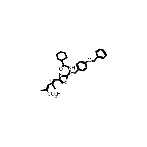 C/C(=C/C(C)=C/c1csc([C@H](Cc2ccc(OCc3ccccc3)cc2)NC(=O)C2CCCCC2)n1)C(=O)O